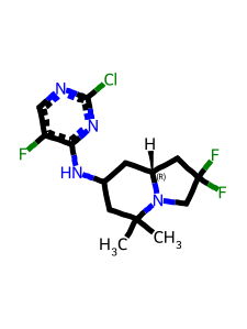 CC1(C)CC(Nc2nc(Cl)ncc2F)C[C@@H]2CC(F)(F)CN21